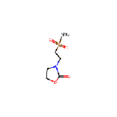 CNS(=O)(=O)CCN1CCOC1=O